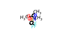 CN=[S@@](=O)(c1cccc(C(F)(F)F)c1)c1nnc(C)cc1C(=O)OC